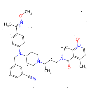 CO/N=C(\C)c1ccc(N(Cc2cccc(C#N)c2)C2CCN(C(C)CCNC(=O)c3c(C)cc[n+]([O-])c3C)CC2)cc1